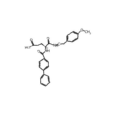 COc1ccc(CCNC(=O)[C@H](CCC(=O)O)NC(=O)c2ccc(-c3ccccc3)cc2)cc1